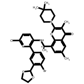 Cc1cc([C@@H](C)Nc2ccc(Cl)nc2-c2ccc(Br)c(C3OCCO3)c2)c2oc(N3CCC(C)(C)CC3)c(C)c(=O)c2c1